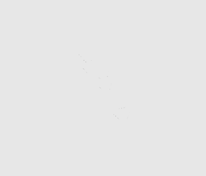 Cc1c[n+](N(C)C)c(Cl)cc1-n1c(C)cc(OCc2ncc(F)cc2F)c(Cl)c1=O